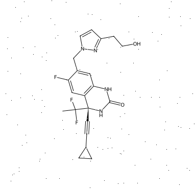 CC(F)(F)[C@@]1(C#CC2CC2)NC(=O)Nc2cc(Cn3ccc(CCO)n3)c(F)cc21